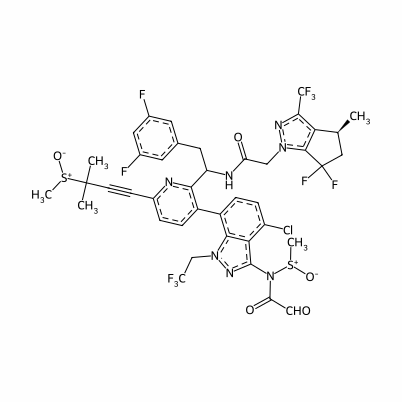 C[C@H]1CC(F)(F)c2c1c(C(F)(F)F)nn2CC(=O)NC(Cc1cc(F)cc(F)c1)c1nc(C#CC(C)(C)[S+](C)[O-])ccc1-c1ccc(Cl)c2c(N(C(=O)C=O)[S+](C)[O-])nn(CC(F)(F)F)c12